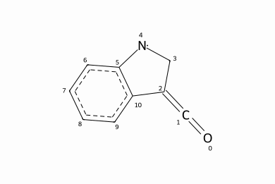 O=C=C1C[N]c2ccccc21